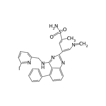 C=N/C=C(\C=C(/C)S(N)(=O)=O)c1nc(NCc2cccc(I)n2)c2c(-c3ccccc3)cccc2n1